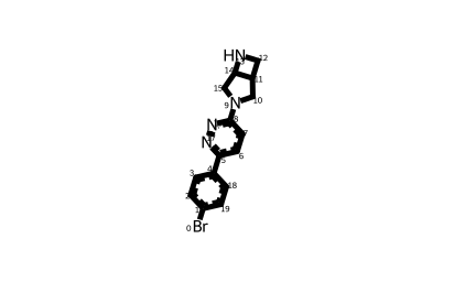 Brc1ccc(-c2ccc(N3CC4CNC4C3)nn2)cc1